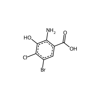 Nc1c(C(=O)O)cc(Br)c(Cl)c1O